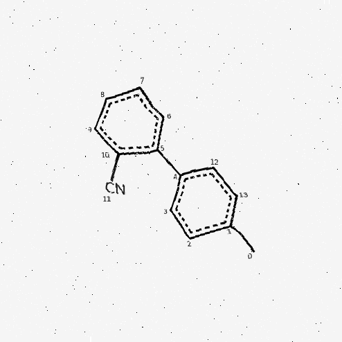 Cc1ccc(-c2ccccc2C#N)cc1